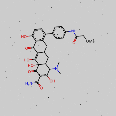 COCC(=O)Nc1ccc(-c2ccc(O)c3c2CC2CC4C(N(C)C)C(O)=C(C(N)=O)C(=O)C4(O)C(O)=C2C3=O)cc1